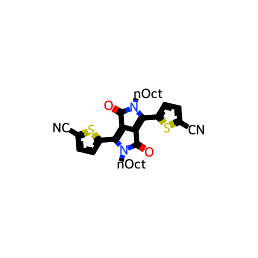 CCCCCCCCN1C(=O)C2=C(c3ccc(C#N)s3)N(CCCCCCCC)C(=O)C2=C1c1ccc(C#N)s1